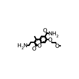 COCCOc1cc2oc(=O)c(CCN)c(C)c2cc1C(N)=O